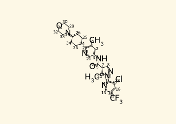 Cc1cc(NC(=O)c2cnn(-c3ncc(C(F)(F)F)cc3Cl)c2C)cnc1[C@H]1CC[C@H](N2CCOCC2)CC1